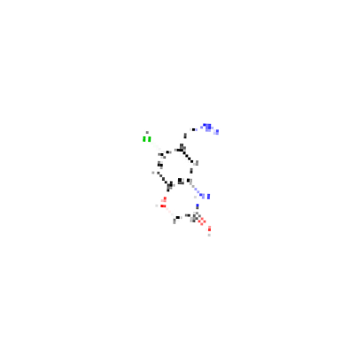 NCc1cc2c(cc1Cl)OCC(=O)N2